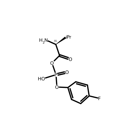 CC(C)[C@H](N)C(=O)OP(=O)(O)Oc1ccc(F)cc1